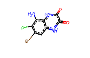 Nc1c(Cl)c(Br)cc2[nH]c(=O)c(=O)[nH]c12